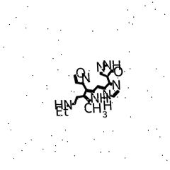 CCNCCc1c(C)[nH]c(C=C2NC=CN=C2C2C=NNC2=O)c1-c1ccon1